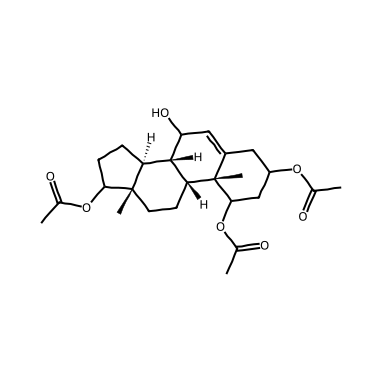 CC(=O)OC1CC2=CC(O)[C@@H]3[C@@H](CC[C@]4(C)C(OC(C)=O)CC[C@@H]34)[C@@]2(C)C(OC(C)=O)C1